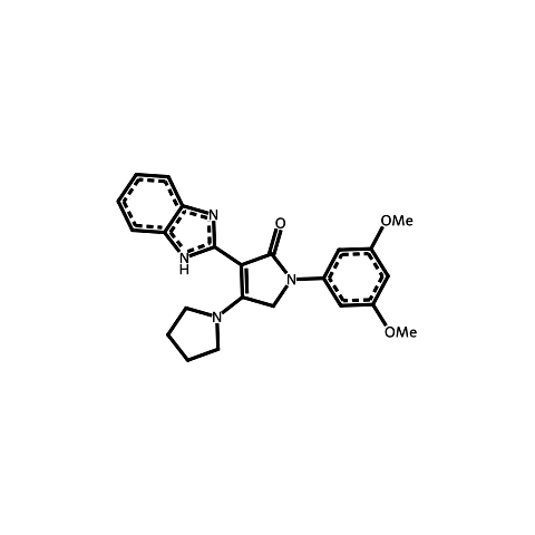 COc1cc(OC)cc(N2CC(N3CCCC3)=C(c3nc4ccccc4[nH]3)C2=O)c1